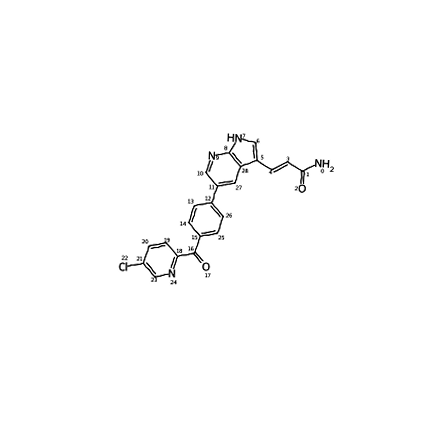 NC(=O)C=Cc1c[nH]c2ncc(-c3ccc(C(=O)c4ccc(Cl)cn4)cc3)cc12